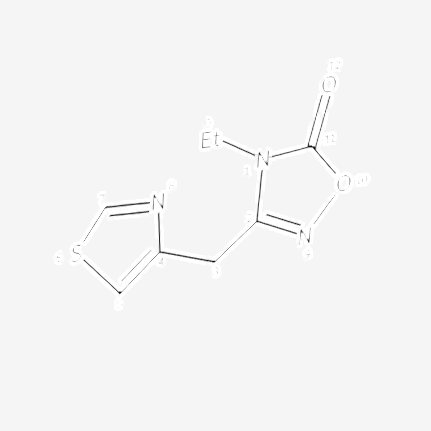 CCn1c(Cc2cscn2)noc1=O